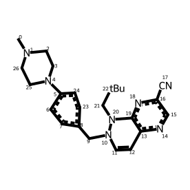 CN1CCN(c2ccc(CN3C=Cc4ncc(C#N)nc4N3CC(C)(C)C)cc2)CC1